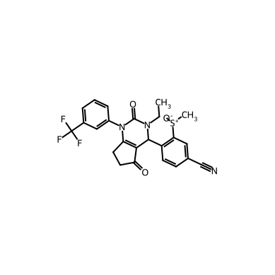 CCN1C(=O)N(c2cccc(C(F)(F)F)c2)C2=C(C(=O)CC2)C1c1ccc(C#N)cc1[S+](C)[O-]